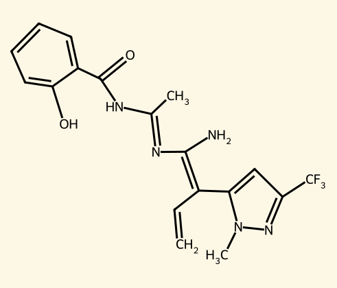 C=C/C(=C(N)\N=C(/C)NC(=O)c1ccccc1O)c1cc(C(F)(F)F)nn1C